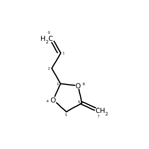 C=CCC1OCC(=C)O1